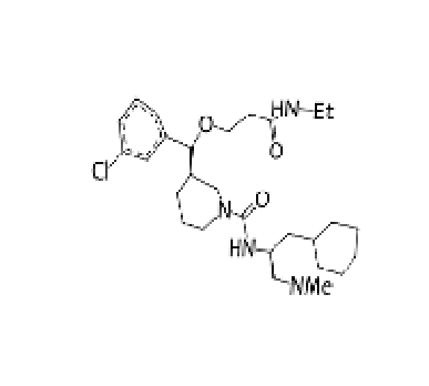 CCNC(=O)CCOC(c1cccc(Cl)c1)[C@@H]1CCCN(C(=O)N[C@H](CNC)CC2CCCCC2)C1